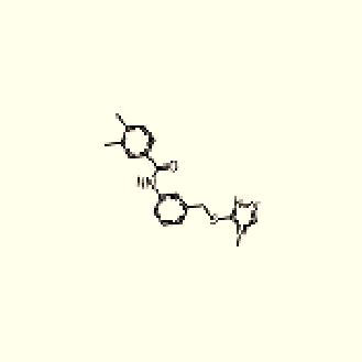 Cc1ccc(C(=O)Nc2cccc(CSc3nncn3C)c2)cc1C